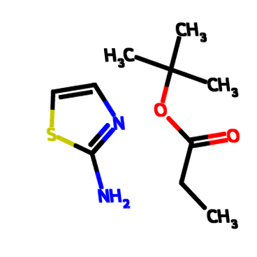 CCC(=O)OC(C)(C)C.Nc1nccs1